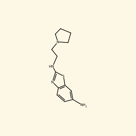 Nc1ccc2nc(NCCN3CCCC3)sc2c1